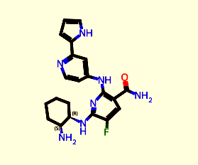 NC(=O)c1cc(F)c(N[C@@H]2CCCC[C@@H]2N)nc1Nc1ccnc(-c2ccc[nH]2)c1